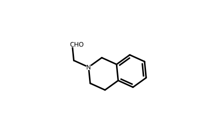 O=CCN1CCc2ccccc2C1